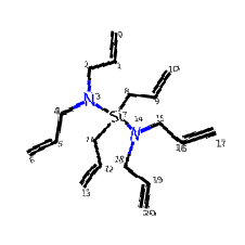 C=CCN(CC=C)[Si](CC=C)(CC=C)N(CC=C)CC=C